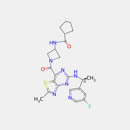 Cc1nc2nc(N[C@@H](C)c3cncc(F)c3)nc(C(=O)N3CC(NC(=O)C4CCCC4)C3)c2s1